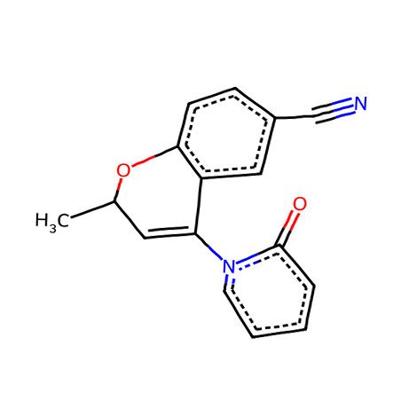 CC1C=C(n2ccccc2=O)c2cc(C#N)ccc2O1